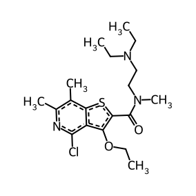 CCOc1c(C(=O)N(C)CCN(CC)CC)sc2c(C)c(C)nc(Cl)c12